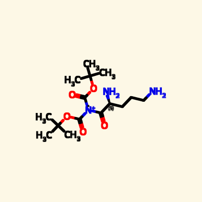 CC(C)(C)OC(=O)[N+](C(=O)OC(C)(C)C)C(=O)[C@@H](N)CCCN